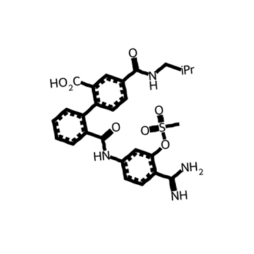 CC(C)CNC(=O)c1ccc(-c2ccccc2C(=O)Nc2ccc(C(=N)N)c(OS(C)(=O)=O)c2)c(C(=O)O)c1